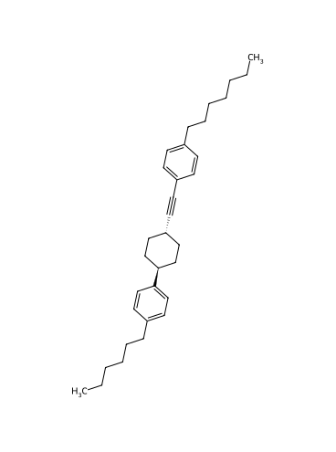 CCCCCCCc1ccc(C#C[C@H]2CC[C@H](c3ccc(CCCCCC)cc3)CC2)cc1